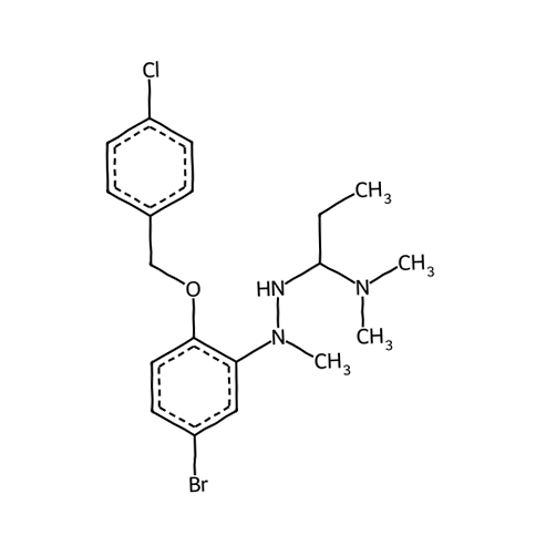 CCC(NN(C)c1cc(Br)ccc1OCc1ccc(Cl)cc1)N(C)C